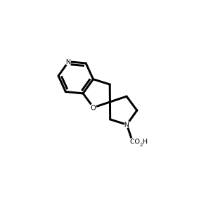 O=C(O)N1CCC2(Cc3cnccc3O2)C1